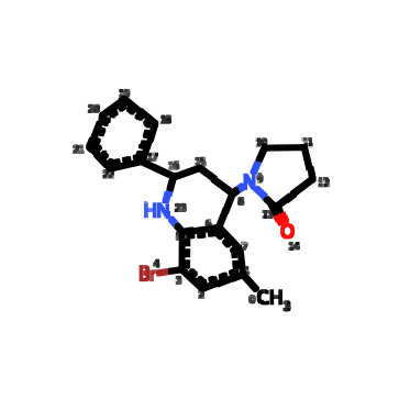 Cc1cc(Br)c2c(c1)C(N1CCCC1=O)CC(c1ccccc1)N2